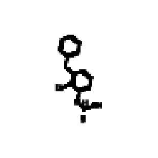 CCc1c(Cc2ccccc2)cccc1O[PH](=S)S